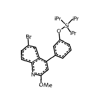 COc1cc(-c2cccc(O[Si](C(C)C)(C(C)C)C(C)C)c2)c2cc(Br)ccc2n1